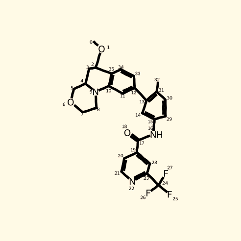 COC1CC2COCCN2c2cc(-c3cc(NC(=O)c4ccnc(C(F)(F)F)c4)ccc3C)ccc21